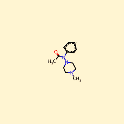 CC(=O)N(c1cc[c]cc1)N1CCN(C)CC1